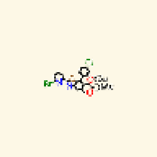 COC(=O)C(OC(C)(C)C)c1c(C)cc2nc(-c3cccc(Br)n3)sc2c1-c1ccc(Cl)cc1